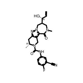 C=C[C@@H](O)C1CN(C)C(=O)c2c3c(nn2C1)C[C@@H](C)N(C(=O)Nc1ccc(F)c(C#N)c1)C3